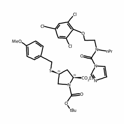 CCCN(CCOc1c(Cl)cc(Cl)cc1Cl)C(=O)n1ccnc1.CCOC(=O)[C@@H]1C[C@H](SCc2ccc(OC)cc2)CN1C(=O)OC(C)(C)C